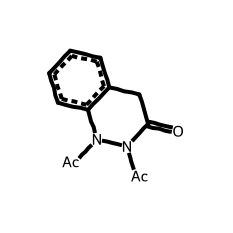 CC(=O)N1C(=O)Cc2ccccc2N1C(C)=O